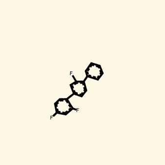 Fc1ccc(-c2ccc(-c3ccccc3)c(F)c2)c(F)c1